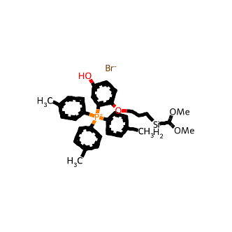 COC(OC)[SiH2]CCCOc1ccc(O)cc1[P+](c1ccc(C)cc1)(c1ccc(C)cc1)c1ccc(C)cc1.[Br-]